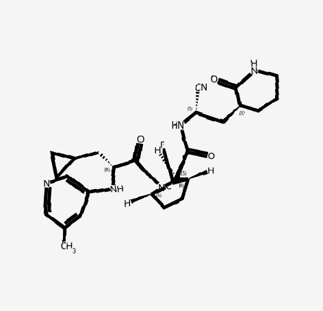 Cc1cncc(N[C@H](CC2CC2)C(=O)N2[C@H]3CC[C@@H]([C@@H]2C(=O)N[C@H](C#N)C[C@@H]2CCCNC2=O)C(F)(F)C3)c1